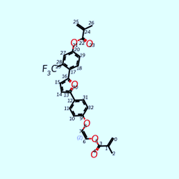 C=C(C)C(=O)O/C=C\Oc1ccc(-c2ccc(-c3ccc(OC(=O)C(=C)C)cc3C(F)(F)F)o2)cc1